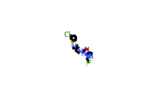 FC(F)Cn1ncc2ncc(N3CCC4(CN(Sc5cccc(Cl)c5)C4)C3)nc21